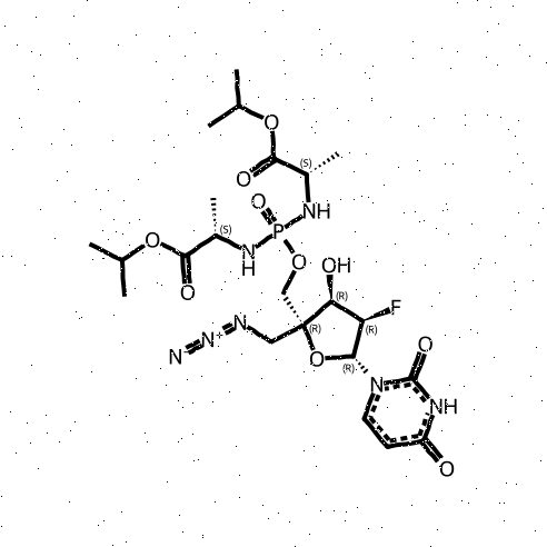 CC(C)OC(=O)[C@H](C)NP(=O)(N[C@@H](C)C(=O)OC(C)C)OC[C@@]1(CN=[N+]=[N-])O[C@@H](n2ccc(=O)[nH]c2=O)[C@H](F)[C@@H]1O